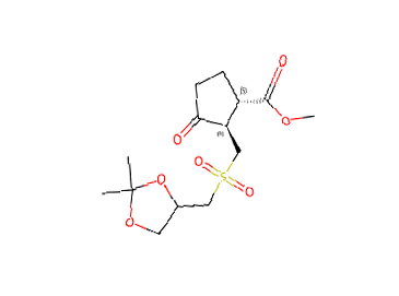 COC(=O)[C@H]1CCC(=O)[C@@H]1CS(=O)(=O)CC1COC(C)(C)O1